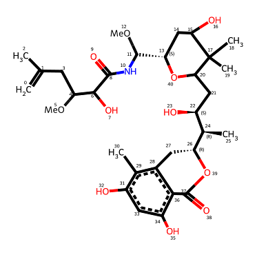 C=C(C)CC(OC)C(O)C(=O)NC(OC)[C@@H]1CC(O)C(C)(C)C(C[C@H](O)[C@@H](C)[C@H]2Cc3c(C)c(O)cc(O)c3C(=O)O2)O1